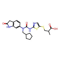 CC(CSc1cnc(NC(=O)N(CC2CCCC2)c2ccc3c(c2)NC(=O)C3)s1)C(=O)O